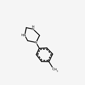 Cc1ccc(N2CNCNC2)cc1